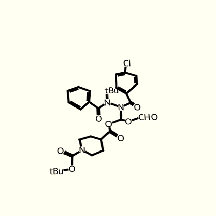 CC(C)(C)OC(=O)N1CCC(C(=O)OC(OC=O)N(C(=O)c2ccc(Cl)cc2)N(C(=O)c2ccccc2)C(C)(C)C)CC1